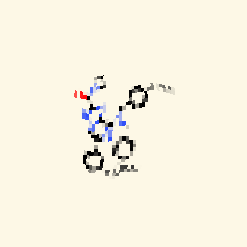 COc1ccc(CN(Cc2ccc(OC)cc2)c2nc(-c3cccc(C#N)c3)cn3nc(C(=O)N4CCC4)nc23)cc1